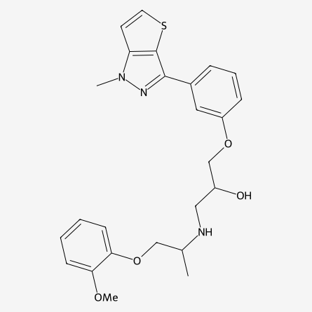 COc1ccccc1OCC(C)NCC(O)COc1cccc(-c2nn(C)c3ccsc23)c1